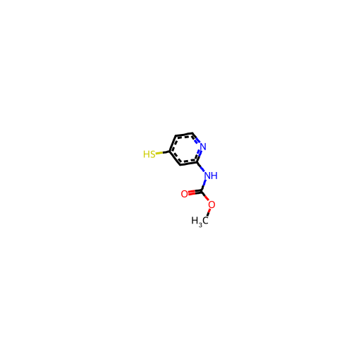 COC(=O)Nc1cc(S)ccn1